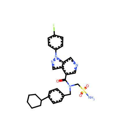 NS(=O)(=O)CN(Cc1ccc(C2CCCCC2)cc1)C(=O)c1cncc2c1cnn2-c1ccc(F)cc1